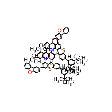 CC(C)(C)c1cc(-c2ccc3c(c2)Sc2cc(-c4ccc5oc6ccccc6c5c4)cc4c2B3c2cc3c(cc2N4c2cc(C(C)(C)C)cc(C(C)(C)C)c2)N(c2c(-c4ccccc4)cccc2-c2ccccc2)c2cc(-c4ccc5oc6ccccc6c5c4)cc4c2B3c2ccc(-c3cc(C(C)(C)C)cc(C(C)(C)C)c3)cc2S4)cc(C(C)(C)C)c1